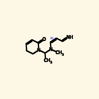 CC(N(C)/C=C\C=N)N1CCC=CC1=O